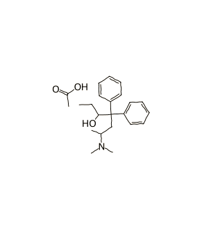 CC(=O)O.CCC(O)C(CC(C)N(C)C)(c1ccccc1)c1ccccc1